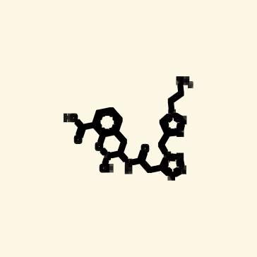 NCCn1cc(Cn2nnnc2CC(=O)NC2Cc3cccc(C(=O)O)c3OB2O)nn1